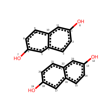 Oc1ccc2cc(O)ccc2c1.Oc1ccc2cc(O)ccc2c1